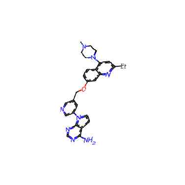 CCc1cc(N2CCN(C)CC2)c2ccc(OCc3cncc(-n4ccc5c(N)ncnc54)c3)cc2n1